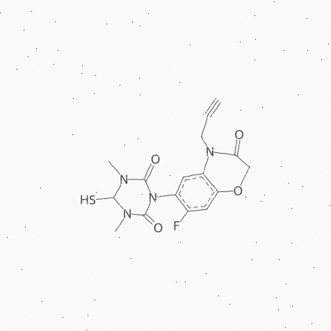 C#CCN1C(=O)COc2cc(F)c(N3C(=O)N(C)C(S)N(C)C3=O)cc21